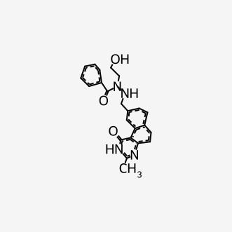 Cc1nc2ccc3ccc(CNN(CCO)C(=O)c4ccccc4)cc3c2c(=O)[nH]1